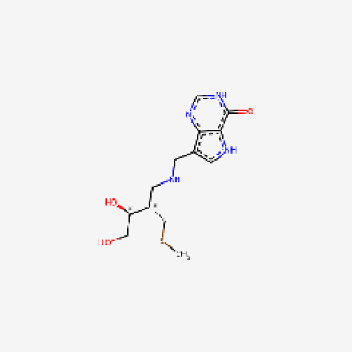 CSC[C@@H](CNCc1c[nH]c2c(=O)[nH]cnc12)[C@H](O)CO